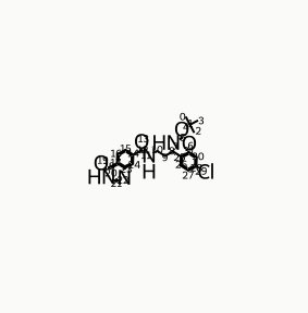 CC(C)(C)OC(=O)NC(CCNC(=O)c1ccc2c(=O)[nH]cnc2c1)c1ccc(Cl)cc1